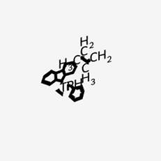 C1=CC2C(C=C1)[CH]([Ti]1([PH]c3ccccc3)[CH2][CH2]1)C1CCCCC21.C=C(C)C(=C)C